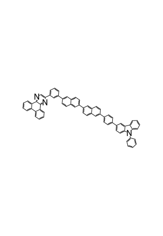 c1ccc(-n2c3ccccc3c3cc(-c4ccc(-c5ccc6cc(-c7ccc8cc(-c9cccc(-c%10cnc%11c%12ccccc%12c%12ccccc%12c%11n%10)c9)ccc8c7)ccc6c5)cc4)ccc32)cc1